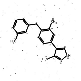 Cc1cccc(Cc2ccc(-c3c[nH]nc3N)cc2C)c1